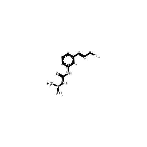 CN(C)NC(=O)Nc1cccc(C=CC[O])c1